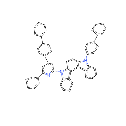 c1ccc(-c2ccc(-c3cc(-c4ccccc4)nc(-n4c5ccccc5c5c6c7ccccc7n(-c7ccc(-c8ccccc8)cc7)c6ccc54)c3)cc2)cc1